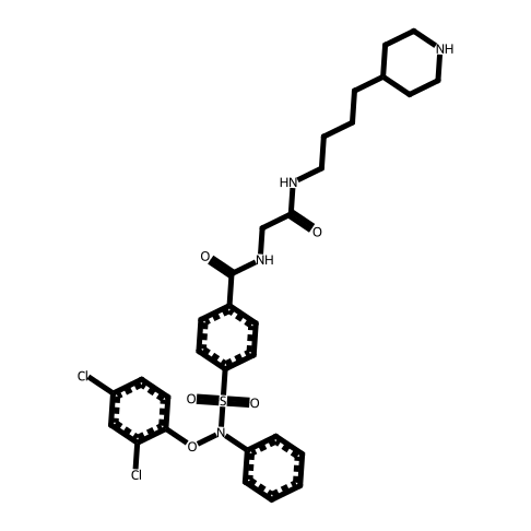 O=C(CNC(=O)c1ccc(S(=O)(=O)N(Oc2ccc(Cl)cc2Cl)c2ccccc2)cc1)NCCCCC1CCNCC1